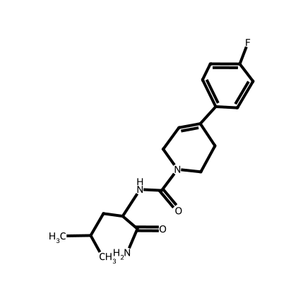 CC(C)CC(NC(=O)N1CC=C(c2ccc(F)cc2)CC1)C(N)=O